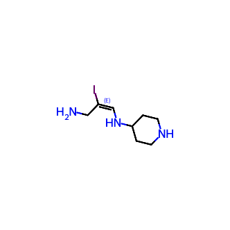 NC/C(I)=C\NC1CCNCC1